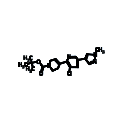 Cn1cc(-c2cnc(C3=CCN(C(=O)OC(C)(C)C)CC3)c(Cl)c2)cn1